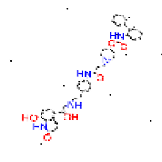 O=C(CCN1CCC(OC(=O)Nc2ccccc2-c2ccccc2)CC1)Nc1ccc(CCNC[C@H](O)c2ccc(O)c3[nH]c(=O)ccc23)cc1